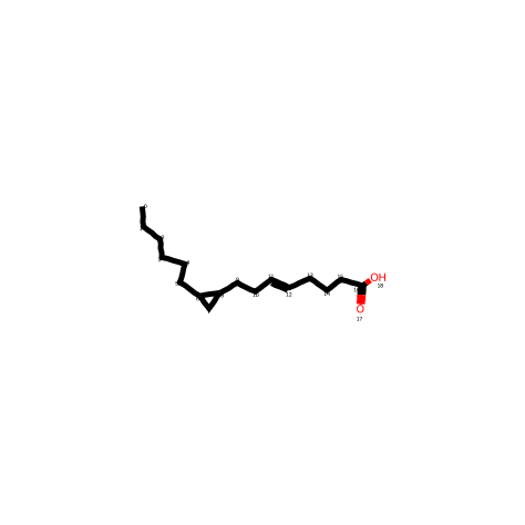 CCCCCCC1CC1CCC=CCCCC(=O)O